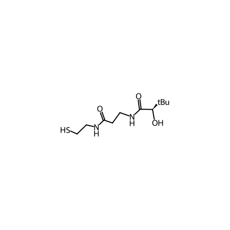 CC(C)(C)[C@@H](O)C(=O)NCCC(=O)NCCS